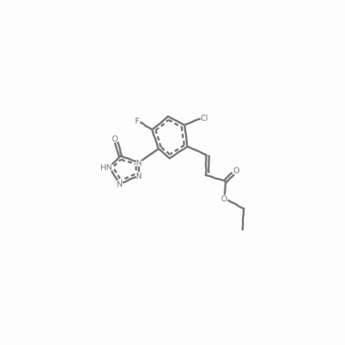 CCOC(=O)C=Cc1cc(-n2nn[nH]c2=O)c(F)cc1Cl